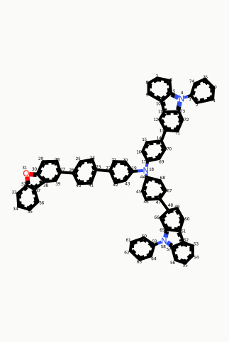 c1ccc(-n2c3ccccc3c3cc(-c4ccc(N(c5ccc(-c6ccc(-c7ccc8oc9ccccc9c8c7)cc6)cc5)c5ccc(-c6ccc7c8ccccc8n(-c8ccccc8)c7c6)cc5)cc4)ccc32)cc1